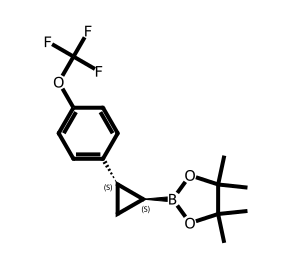 CC1(C)OB([C@H]2C[C@@H]2c2ccc(OC(F)(F)F)cc2)OC1(C)C